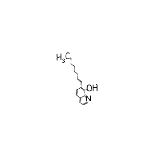 CCCCCC/C=C/c1ccc2cccnc2c1O